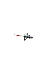 CCC=CCC=CCC=CCC=CCC=CCCCC(=O)NCCNC(=O)C=CC(=O)O